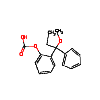 CCC(OC)(c1ccccc1)c1ccccc1OC(=O)O